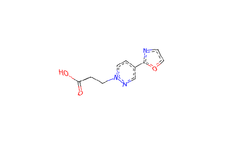 O=C(O)CC[n+]1ccc(-c2ncco2)cn1